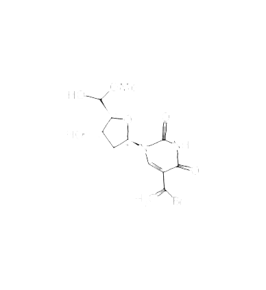 C=C(Br)c1cn([C@H]2C[C@H](O)[C@@H](C(O)OC)O2)c(=O)[nH]c1=O